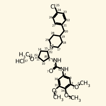 COc1cc(NC(=O)N[C@@H]2C[C@H](OC)C[C@@H]2N2CCC(Cc3ccc(Cl)cc3)CC2)cc(OC)c1OC.Cl